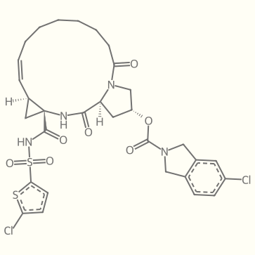 O=C1N[C@]2(C(=O)NS(=O)(=O)c3ccc(Cl)s3)C[C@H]2/C=C\CCCCCCC(=O)N2C[C@H](OC(=O)N3Cc4ccc(Cl)cc4C3)C[C@@H]12